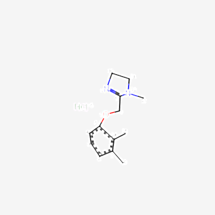 Cc1cccc(OCC2=NCCN2C)c1C.Cl